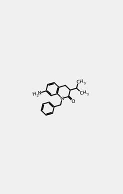 CC(C)C1Cc2ccc(N)cc2N(Cc2ccccc2)C1=O